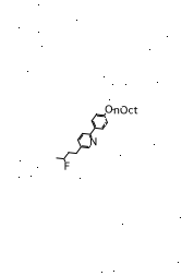 CCCCCCCCOc1ccc(-c2ccc(CCC(C)F)cn2)cc1